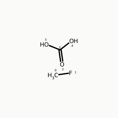 CF.O=C(O)O